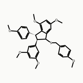 COc1ccc(CSC2c3cc(OC)cc(OC)c3[C@@H](c3ccc(OC)cc3)[C@@H]2c2cc(OC)cc(OC)c2)cc1